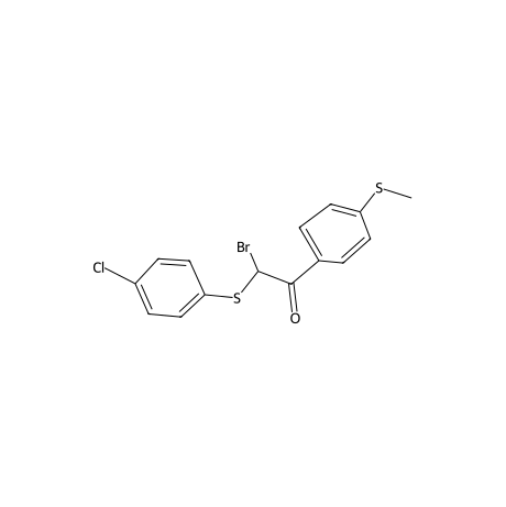 CSc1ccc(C(=O)C(Br)Sc2ccc(Cl)cc2)cc1